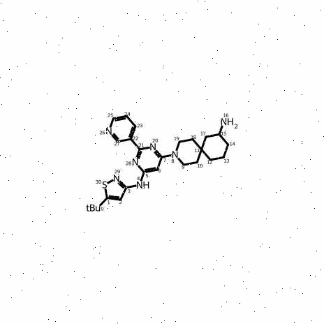 CC(C)(C)c1cc(Nc2cc(N3CCC4(CCCC(N)C4)CC3)nc(-c3cccnc3)n2)ns1